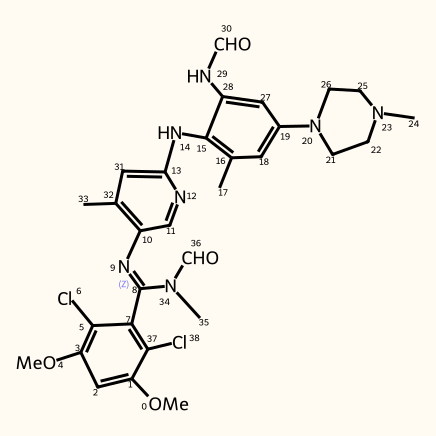 COc1cc(OC)c(Cl)c(/C(=N/c2cnc(Nc3c(C)cc(N4CCN(C)CC4)cc3NC=O)cc2C)N(C)C=O)c1Cl